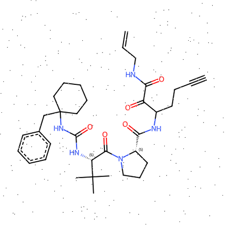 C#CCCC(NC(=O)[C@@H]1CCCN1C(=O)[C@@H](NC(=O)NC1(Cc2ccccc2)CCCCC1)C(C)(C)C)C(=O)C(=O)NCC=C